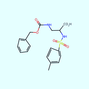 Cc1ccc(S(=O)(=O)NC(CNC(=O)OCc2ccccc2)C(=O)O)cc1